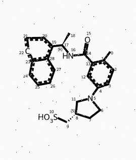 Cc1ccc(N2CC[C@H](CS(=O)(=O)O)C2)cc1C(=O)N[C@H](C)c1cccc2ccccc12